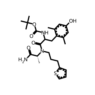 Cc1cc(O)cc(C)c1CC(NC(=O)OC(C)(C)C)C(=O)N(CCCc1cccs1)[C@H](C)C(N)=O